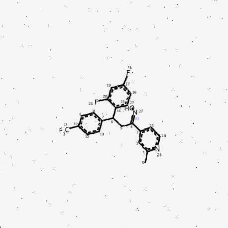 Cc1cc(/C(CC(c2ccc(C(F)(F)F)cc2)c2ccc(F)cc2F)=N/O)ccn1